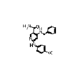 [C-]#[N+]c1ccc(Nc2cc(NCc3ccccc3)c(C(N)=O)cn2)cc1